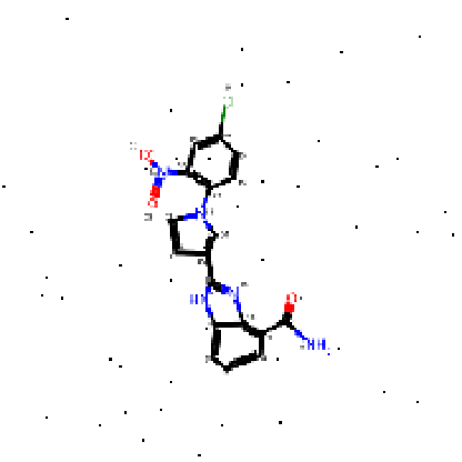 NC(=O)c1cccc2[nH]c(-c3ccn(-c4ccc(Cl)cc4[N+](=O)[O-])c3)nc12